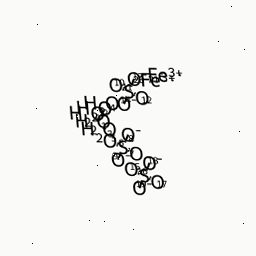 O.O.O.O.O.O=S(=O)([O-])[O-].O=S(=O)([O-])[O-].O=S(=O)([O-])[O-].[Fe+3].[Fe+3]